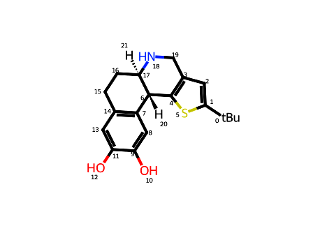 CC(C)(C)c1cc2c(s1)[C@@H]1c3cc(O)c(O)cc3CC[C@H]1NC2